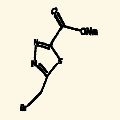 COC(=O)c1nnc(CBr)s1